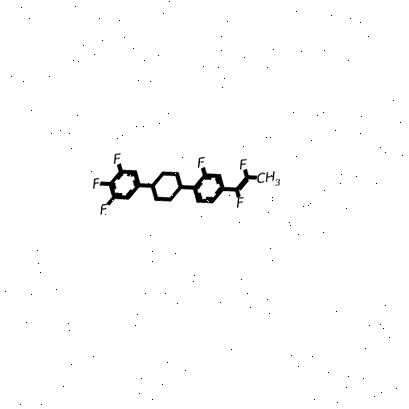 C/C(F)=C(\F)c1ccc(C2CCC(c3cc(F)c(F)c(F)c3)CC2)c(F)c1